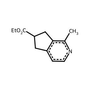 CCOC(=O)C1Cc2ccnc(C)c2C1